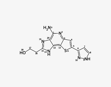 Nc1nc2cc(-c3cc[nH]n3)sc2c2[nH]c(CCO)nc12